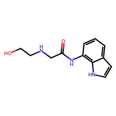 O=C(CNCCO)Nc1cccc2cc[nH]c12